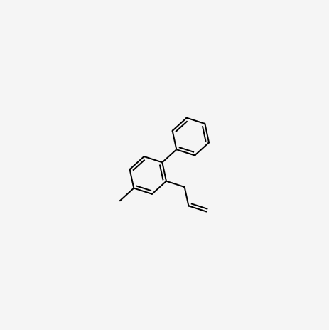 C=CCc1cc(C)ccc1-c1ccccc1